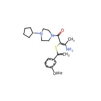 C=C(S/C(C(=O)N1CCN(C2CCCC2)CC1)=C(/C)N)c1cccc(OC)c1